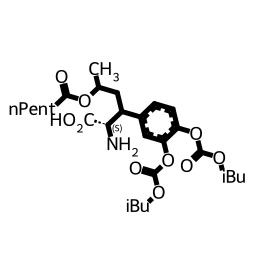 CCCCCC(=O)OC(C)CC(c1ccc(OC(=O)OC(C)CC)c(OC(=O)OC(C)CC)c1)[C@H](N)C(=O)O